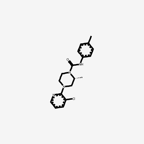 Cc1ccc(NC(=O)N2CCN(c3ncccc3Cl)C[C@H]2C)cc1